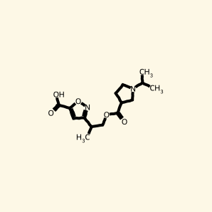 CC(COC(=O)C1CCN(C(C)C)C1)c1cc(C(=O)O)on1